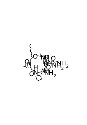 CCCCCC[C@H]1OC[C@@H](C)NC(=O)[C@H](CNC(=O)[C@@H](N)CN)NC(=O)[C@H](CN)NC(C)[C@H](C2CCCCC2)NC(=O)C[C@H](CC(C)C)N(C)C(=O)[C@@H]1C